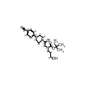 CC(C)(C)OC(=O)N(CCCO)CC(=O)N1CCN(c2ccc(C#N)cn2)CC1